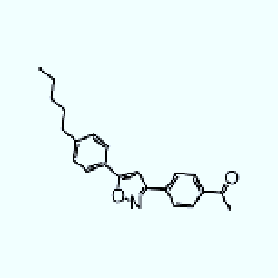 CCCCCc1ccc(-c2cc(-c3ccc(C(C)=O)cc3)no2)cc1